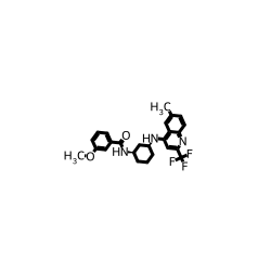 COc1cccc(C(=O)N[C@@H]2CCC[C@H](Nc3cc(C(F)(F)F)nc4ccc(C)cc34)C2)c1